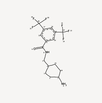 NC1CCC(CNC(=O)c2cc(C(F)(F)F)cc(C(F)(F)F)c2)CC1